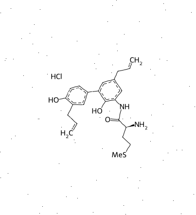 C=CCc1cc(NC(=O)[C@@H](N)CCSC)c(O)c(-c2ccc(O)c(CC=C)c2)c1.Cl